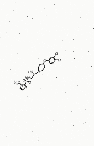 Cn1ccnc1S(=O)(=O)NC[C@H](O)CN1CCC(Oc2ccc(Cl)c(Cl)c2)CC1